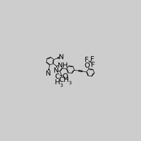 CC1(C)Oc2cc(C#Cc3ccccc3OC(F)(F)F)ccc2-c2[nH]c(-c3c(C#N)cccc3C#N)nc21